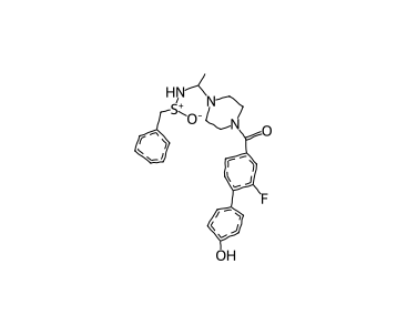 CC(N[S+]([O-])Cc1ccccc1)N1CCN(C(=O)c2ccc(-c3ccc(O)cc3)c(F)c2)CC1